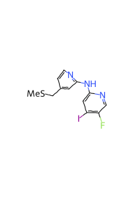 CSCc1ccnc(Nc2cc(I)c(F)cn2)c1